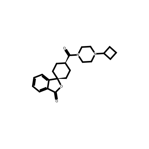 O=C1O[C@]2(CC[C@H](C(=O)N3CCN(C4CCC4)CC3)CC2)c2ccccc21